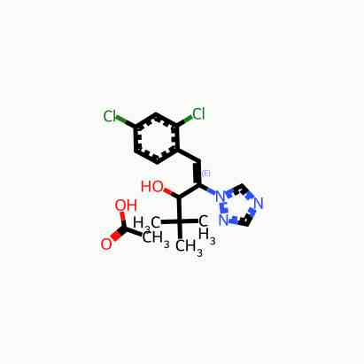 CC(=O)O.CC(C)(C)C(O)/C(=C\c1ccc(Cl)cc1Cl)n1cncn1